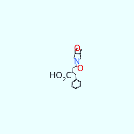 O=C(O)[C@@H](CC(=O)N1Cc2cocc2C1)Cc1ccccc1